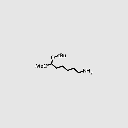 COC(CCCCCN)OC(C)(C)C